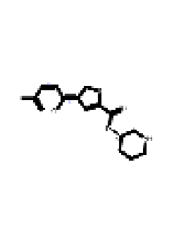 C=C(C)/C=C\C(Cl)=C1\C=C(C(=O)N[C@@H]2CCCNC2)SC1